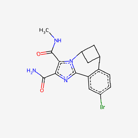 CNC(=O)c1c(C(N)=O)nc2n1C1CC(C1)c1ccc(Br)cc1-2